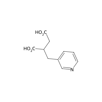 O=C(O)CC(Cc1cccnc1)C(=O)O